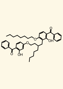 CCCCCCCCOc1ccc(C(=O)c2ccccc2)c(O)c1CC(CCCCC)CCOc1ccc(C(=O)c2ccccc2)c(O)c1